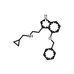 c1ccc(COc2cccc3[nH]cc(CCNCC4CC4)c23)cc1